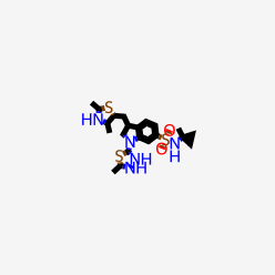 CC1NC(C)C(CC2CN(C3NNC(C)S3)c3cc(S(=O)(=O)NC4(C)CC4)ccc32)S1